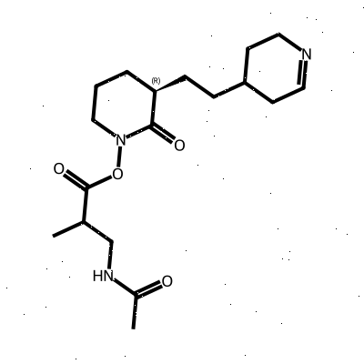 CC(=O)NCC(C)C(=O)ON1CCC[C@@H](CCC2CC=NCC2)C1=O